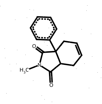 CN1C(=O)C2CC=CCC2(c2ccccc2)C1=O